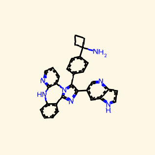 NC1(c2ccc(-c3c(-c4cnc5cc[nH]c5c4)nc4n3-c3cccnc3Nc3ccccc3-4)cc2)CCC1